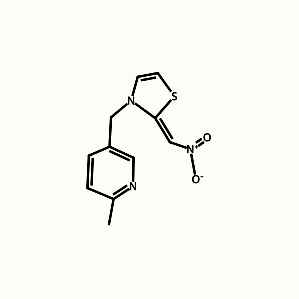 Cc1ccc(CN2C=CSC2=C[N+](=O)[O-])cn1